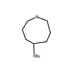 CCCCC1CCC[N]CCC1